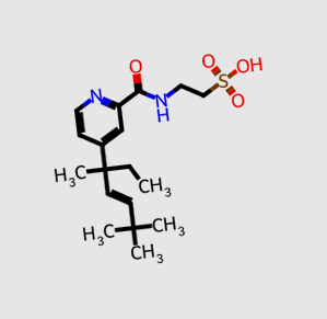 CCC(C)(/C=C/C(C)(C)C)c1ccnc(C(=O)NCCS(=O)(=O)O)c1